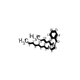 CCCCCCCCN1C=CN(Cc2ccccc2)C1CCCCC